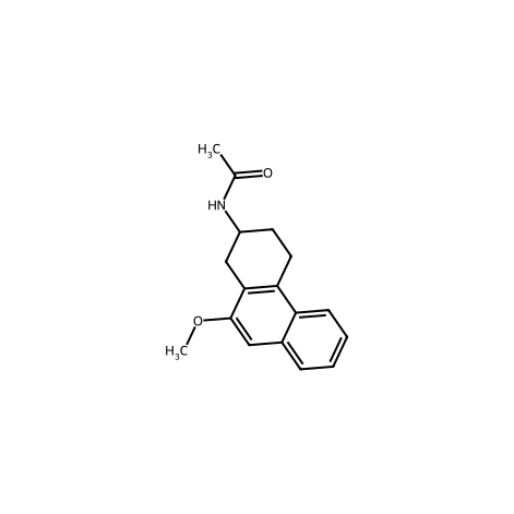 COc1cc2ccccc2c2c1CC(NC(C)=O)CC2